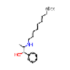 CCCCCCCCCCCCCCCCCCNC(C)C(O)c1ccccc1